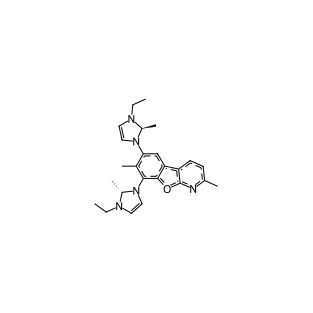 CCN1C=CN(c2cc3c(oc4nc(C)ccc43)c(N3C=CN(CC)[C@@H]3C)c2C)[C@@H]1C